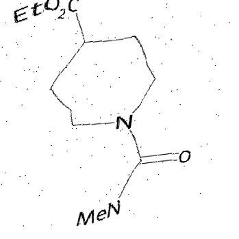 CCOC(=O)C1CCN(C(=O)NC)CC1